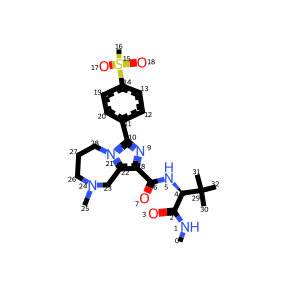 CNC(=O)[C@@H](NC(=O)c1nc(-c2ccc(S(C)(=O)=O)cc2)n2c1CN(C)CCC2)C(C)(C)C